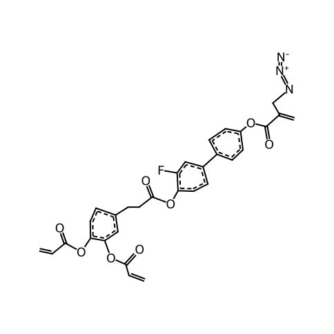 C=CC(=O)Oc1ccc(CCC(=O)Oc2ccc(-c3ccc(OC(=O)C(=C)CN=[N+]=[N-])cc3)cc2F)cc1OC(=O)C=C